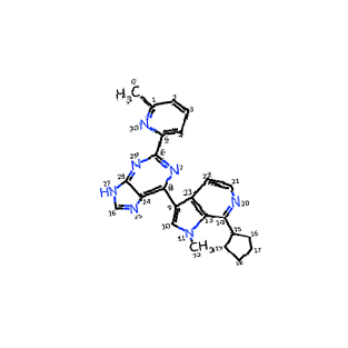 Cc1cccc(-c2nc(-c3cn(C)c4c(C5CCCC5)nccc34)c3nc[nH]c3n2)n1